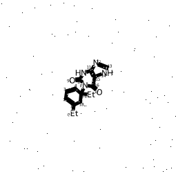 CCC1=CC=CC(CC)(n2c(=O)[nH]c3nc[nH]c3c2=O)C1